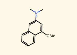 COc1cc(N(C)C)cc2ccccc12